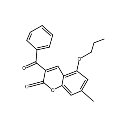 CCCOc1cc(C)cc2oc(=O)c(C(=O)c3ccccc3)cc12